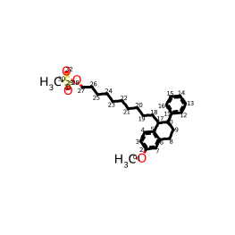 COc1ccc2c(c1)CCC(c1ccccc1)C2CCCCCCCCCCOS(C)(=O)=O